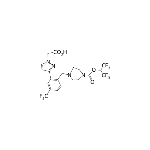 O=C(O)Cn1ccc(-c2cc(C(F)(F)F)ccc2CN2CCN(C(=O)OC(C(F)(F)F)C(F)(F)F)CC2)n1